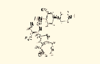 CCc1nc(N2CCNCC2)ccc1Nc1ncc(C(F)(F)F)c(-c2cc3c(s2)COCCS3(=O)=O)n1